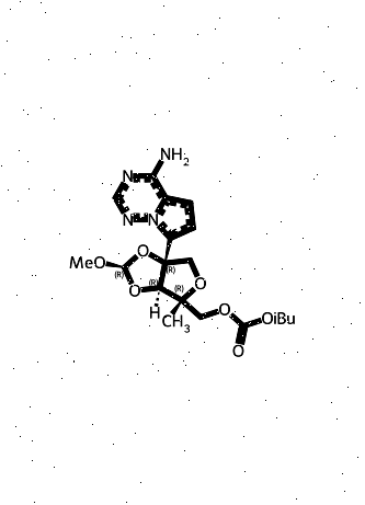 CO[C@@H]1O[C@@H]2[C@@](C)(COC(=O)OCC(C)C)OC[C@@]2(c2ccc3c(N)ncnn23)O1